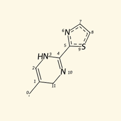 [CH2]C1=CNC(c2nccs2)=NC1